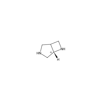 C1NC[C@H]2NCC12